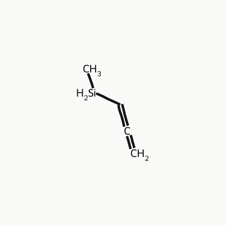 C=C=C[SiH2]C